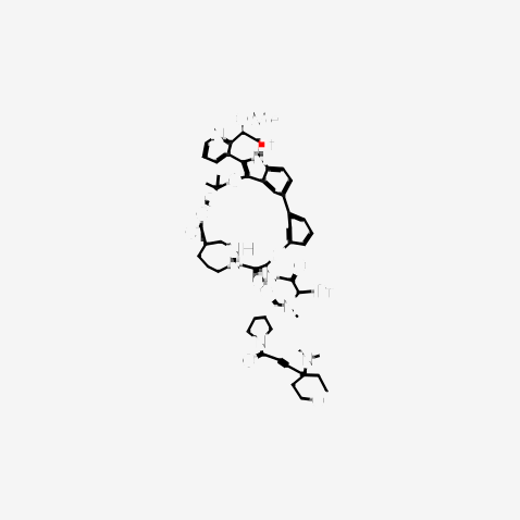 CCn1c(-c2cccnc2[C@H](C)OC)c2c3cc(ccc31)-c1cccc(c1)C[C@H](NC(=O)C(C(C)C)N(C)C(=O)[C@H]1CCN(C(=O)C#CC3(N(C)C)CCOCC3)C1)C(=O)N1CCC[C@H](CN1)C(=O)OCC(C)(C)C2